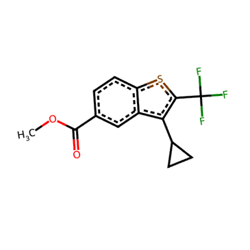 COC(=O)c1ccc2sc(C(F)(F)F)c(C3CC3)c2c1